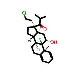 CC(C)C(=O)[C@]1(CCCl)CC[C@H]2[C@@H]3CCC4=CCC=C[C@]4(C)[C@@]3(F)[C@@H](O)C[C@@]21C